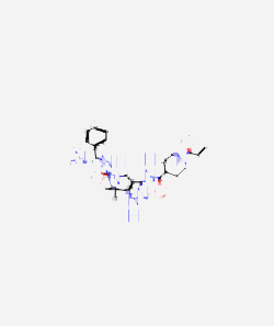 C=CC(=O)N1CCC(C(=O)Nc2n[nH]c3c2CN(C(=O)N[C@H](CN(C)C)c2ccccc2)C3(C)C)CC1